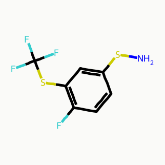 NSc1ccc(F)c(SC(F)(F)F)c1